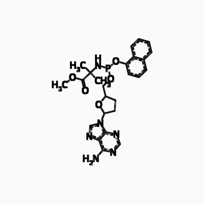 COC(=O)C(C)(C)NP(OCC1CCC(n2cnc3c(N)ncnc32)O1)Oc1cccc2ccccc12